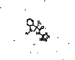 CC(=O)N1CC(C)(C(=O)Nc2nnn[nH]2)c2ccccc21